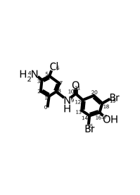 Cc1cc(N)c(Cl)cc1NC(=O)c1cc(Br)c(O)c(Br)c1